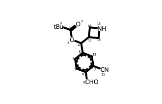 CC(C)(C)C(=O)OC(c1ccc(C=O)c(C#N)c1)C1CNC1